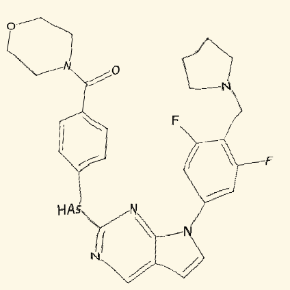 O=C(c1ccc([AsH]c2ncc3ccn(-c4cc(F)c(CN5CCCC5)c(F)c4)c3n2)cc1)N1CCOCC1